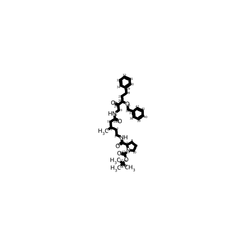 CC(CCNC(=O)C1CCCN1C(=O)OC(C)(C)C)CC(=O)NCC(=O)C(CCc1ccccc1)OCc1ccccc1